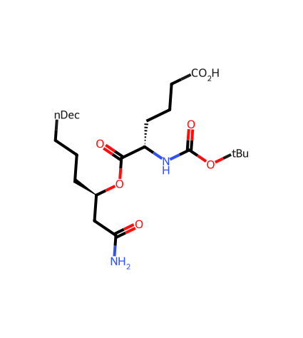 CCCCCCCCCCCCC[C@H](CC(N)=O)OC(=O)[C@H](CCCC(=O)O)NC(=O)OC(C)(C)C